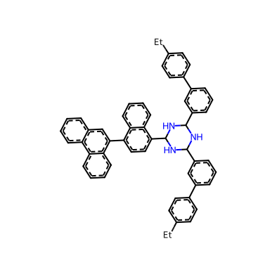 CCc1ccc(-c2cccc(C3NC(c4cccc(-c5ccc(CC)cc5)c4)NC(c4ccc(-c5cc6ccccc6c6ccccc56)c5ccccc45)N3)c2)cc1